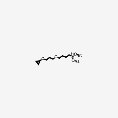 CCO[SiH](CCCCOCCCOC1CC1)OCC